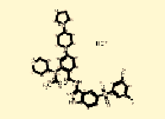 Cl.O=C(Nc1n[nH]c2ccc(S(=O)(=O)c3cc(F)cc(F)c3)cc12)c1ccc(N2CCC(N3CCCC3)CC2)cc1N(C(=O)C(F)(F)F)C1CCOCC1